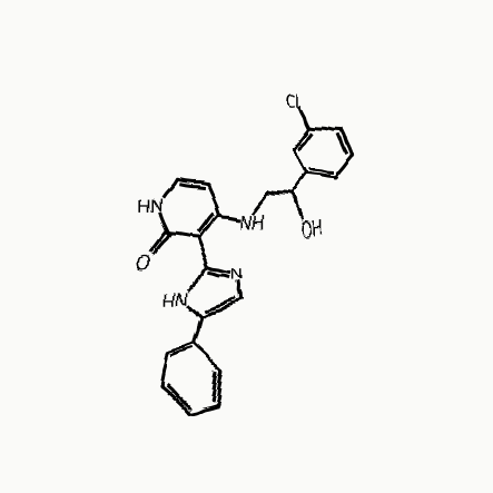 O=c1[nH]ccc(NCC(O)c2cccc(Cl)c2)c1-c1ncc(-c2ccccc2)[nH]1